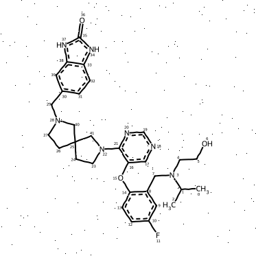 CC(C)N(CCO)Cc1cc(F)ccc1Oc1cncnc1N1CCC2(CCN(Cc3ccc4[nH]c(=O)[nH]c4c3)C2)C1